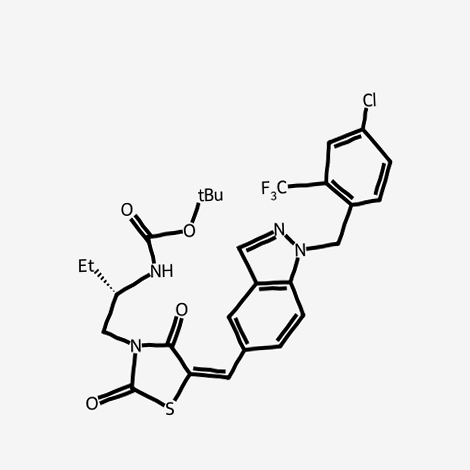 CC[C@@H](CN1C(=O)SC(=Cc2ccc3c(cnn3Cc3ccc(Cl)cc3C(F)(F)F)c2)C1=O)NC(=O)OC(C)(C)C